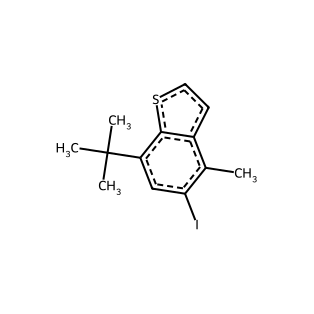 Cc1c(I)cc(C(C)(C)C)c2sccc12